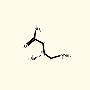 CCCCCC[C@H](CCCC)CC(N)=O